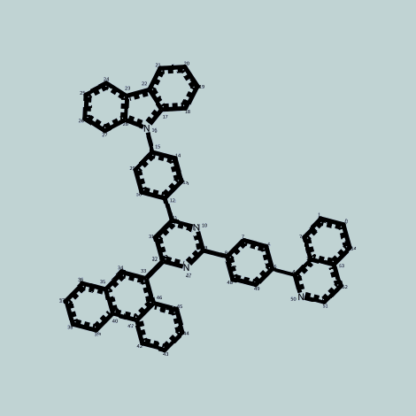 c1ccc2c(-c3ccc(-c4nc(-c5ccc(-n6c7ccccc7c7ccccc76)cc5)cc(-c5cc6ccccc6c6ccccc56)n4)cc3)nccc2c1